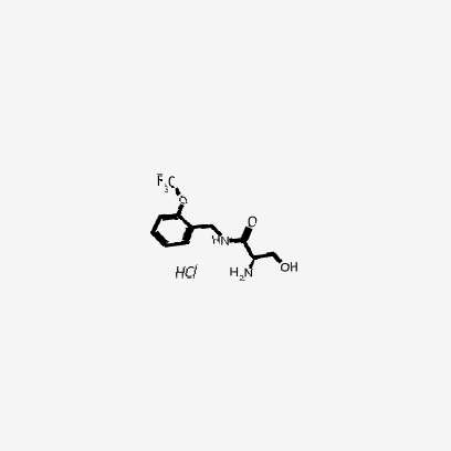 Cl.N[C@H](CO)C(=O)NCc1ccccc1OC(F)(F)F